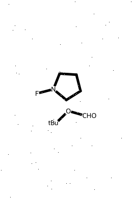 CC(C)(C)OC=O.FN1CCCC1